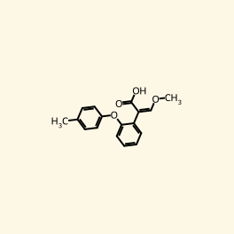 COC=C(C(=O)O)c1ccccc1Oc1ccc(C)cc1